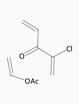 C=CC(=O)C(=C)Cl.C=COC(C)=O